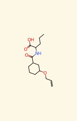 C=CCOC1CCCC(C(=O)NC(CCC)C(=O)O)C1